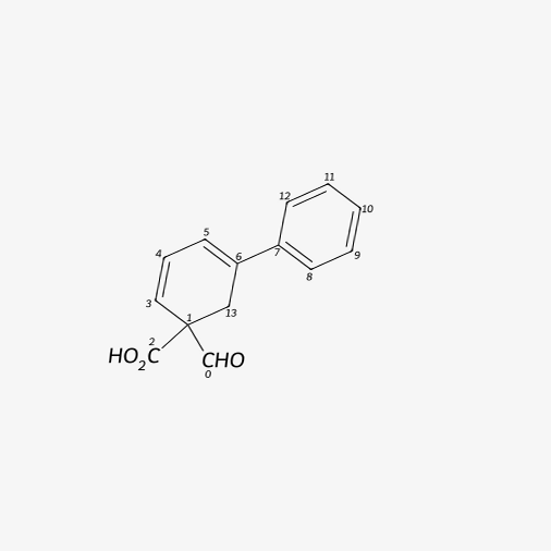 O=CC1(C(=O)O)C=CC=C(c2ccccc2)C1